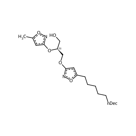 CCCCCCCCCCCCCCCc1cc(OC[C@H](CO)Oc2cc(C)on2)no1